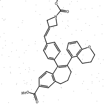 COC(=O)c1ccc2c(c1)CCCC(c1cccc3c1CCCO3)=C2c1ccc(C=C2CN(C(=O)OC(C)(C)C)C2)cc1